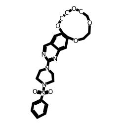 O=S(=O)(c1ccccc1)N1CCN(c2ncc3cc4c(cc3n2)OCCOCCOCCO4)CC1